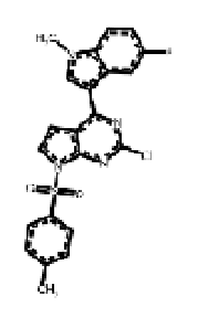 Cc1ccc(S(=O)(=O)n2ccc3c(-c4cn(C)c5ccc(F)cc45)nc(Cl)nc32)cc1